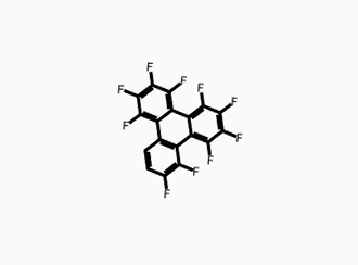 Fc1ccc2c(c1F)c1c(F)c(F)c(F)c(F)c1c1c(F)c(F)c(F)c(F)c21